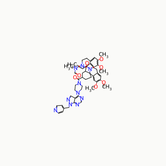 CCN1CCc2cc(OC)c(OC)cc2C1C1CC(C(=O)N2CCN(c3ncnc4c3cnn4Cc3ccncc3)CC2)CCC12c1cc(OC)c(OC)cc1CCN2C(=O)CCN(C)C=O